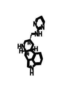 c1cnc(NC[C@H]2CN[C@@H]3Cc4c[nH]c5cccc(c45)[C@H]3C2)nc1